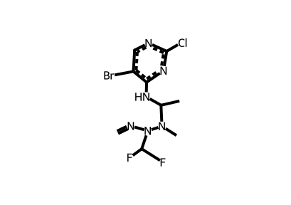 C=NN(C(F)F)N(C)C(C)Nc1nc(Cl)ncc1Br